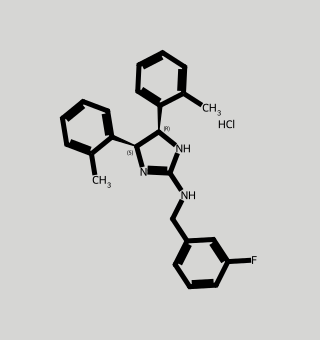 Cc1ccccc1[C@H]1NC(NCc2cccc(F)c2)=N[C@H]1c1ccccc1C.Cl